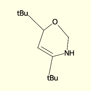 CC(C)(C)C1=CC(C(C)(C)C)OCN1